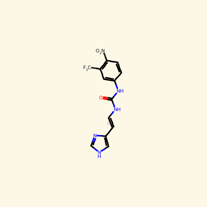 O=C(N/C=C/c1c[nH]cn1)Nc1ccc([N+](=O)[O-])c(C(F)(F)F)c1